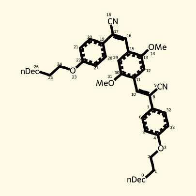 CCCCCCCCCCCCOc1ccc(C(C#N)=Cc2cc(OC)c(C=C(C#N)c3ccc(OCCCCCCCCCCCC)cc3)cc2OC)cc1